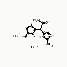 Cl.NC(=O)C(c1csc(N)n1)c1nc(CC(=O)O)cs1